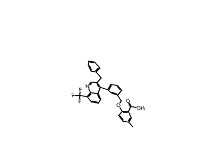 Cc1ccc(OCc2cccc(-c3c(Cc4ccccc4)cnc4c(C(F)(F)F)cccc34)c2)c(C(=O)O)c1